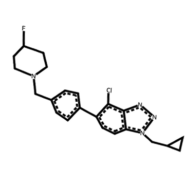 FC1CCN(Cc2ccc(-c3ccc4c(nnn4CC4CC4)c3Cl)cc2)CC1